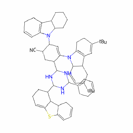 CC(C)(C)C1=CC2=C(CC1)N(C1=CC(N3C4=C(CCC=C4)C4CCCCC43)C(C#N)CC1C1NC(C3=CC=CCC3)NC(C3CCC=C4SC5=CC=CCC5C43)N1)C1C=CC(C(C)(C)C)CC21